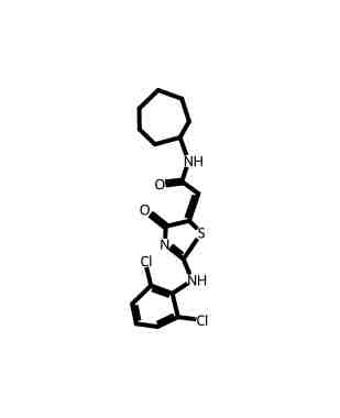 O=C(C=C1SC(Nc2c(Cl)cccc2Cl)=NC1=O)NC1CCCCCC1